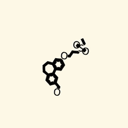 CCS(=O)(=O)CCCOc1ccc2c(c1)CCCc1ccc(C=O)cc1-2